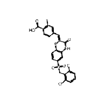 Cc1cc(C=C2Sc3ccc(S(=O)(=O)Cc4c(Cl)cccc4Cl)cc3NC2=O)ccc1C(=O)O